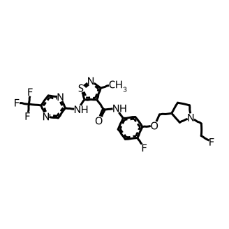 Cc1nsc(Nc2cnc(C(F)(F)F)cn2)c1C(=O)Nc1ccc(F)c(OCC2CCN(CCF)C2)c1